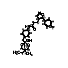 CCC1(C)CO[PH](O)(Cc2ccc(NC(=O)CCc3cnoc3-c3ccc(F)cc3)cc2)OC1